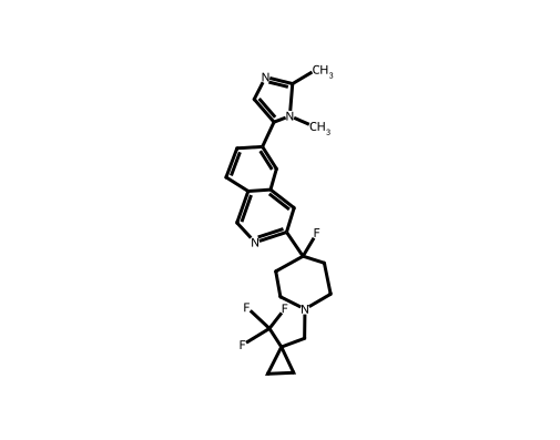 Cc1ncc(-c2ccc3cnc(C4(F)CCN(CC5(C(F)(F)F)CC5)CC4)cc3c2)n1C